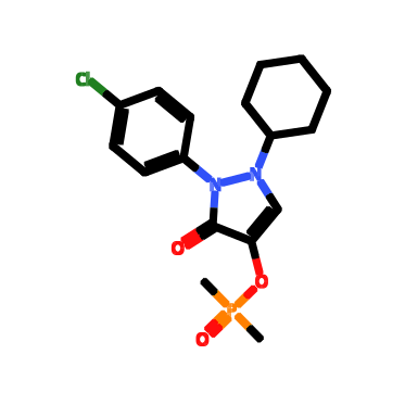 CP(C)(=O)Oc1cn(C2CCCCC2)n(-c2ccc(Cl)cc2)c1=O